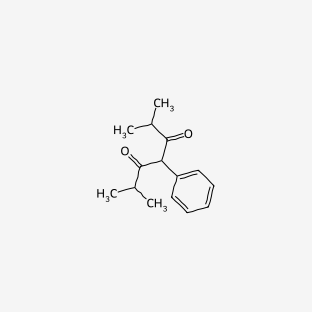 CC(C)C(=O)C(C(=O)C(C)C)c1ccccc1